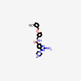 CN1CCN(c2nc(N)nc3cc(C(=O)NCc4cccc(OCc5cccc(C#N)c5)c4)ccc23)CC1